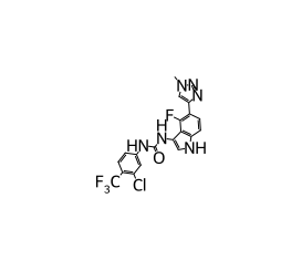 Cn1cc(-c2ccc3[nH]cc(NC(=O)Nc4ccc(C(F)(F)F)c(Cl)c4)c3c2F)nn1